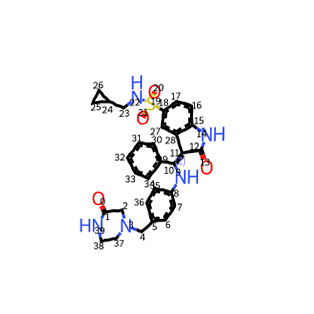 O=C1CN(Cc2ccc(N/C(=C3\C(=O)Nc4ccc(S(=O)(=O)NCC5CC5)cc43)c3ccccc3)cc2)CCN1